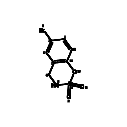 O=S1(=O)NCc2cc(Br)ccc2O1